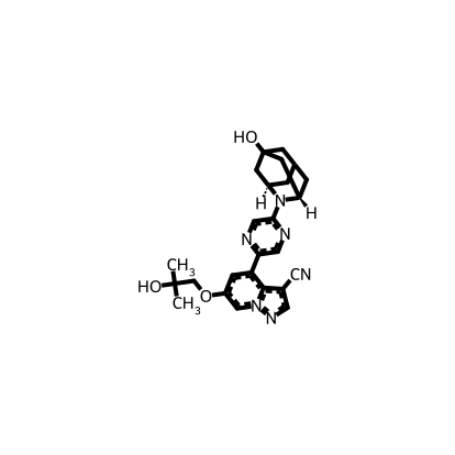 CC(C)(O)COc1cc(-c2cnc(N3[C@@H]4CC5C[C@H]3CC(O)(C5)C4)cn2)c2c(C#N)cnn2c1